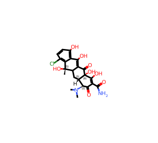 CN(C)[C@@H]1C(=O)C(C(N)=O)=C(O)[C@@]2(O)C(=O)C3=C(O)c4c(O)ccc(Cl)c4[C@@](C)(O)C3C[C@@H]12